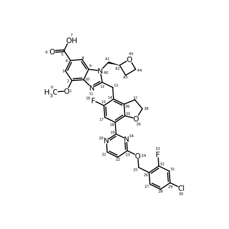 COc1cc(C(=O)O)cc2c1nc(Cc1c(F)cc(-c3nccc(OCc4ccc(Cl)cc4F)n3)c3c1CCO3)n2C[C@@H]1CCO1